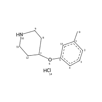 Cc1cccc(OC2CCNCC2)c1.Cl